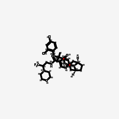 CC(C)(Oc1ccc(Cl)cc1Cl)C(=O)N[C@H]1C[C@H]2CC[C@@H](C1)N2c1ccc(C(=O)NCC(N2CCOCC2)C(F)(F)F)cn1